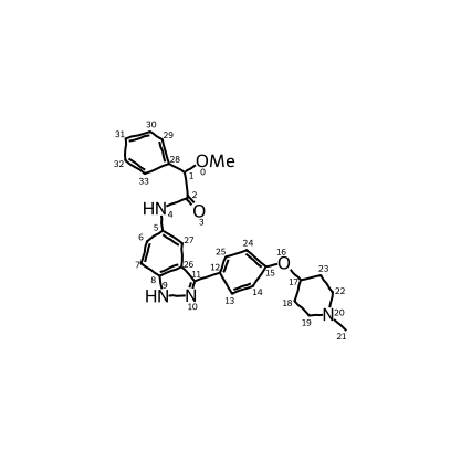 COC(C(=O)Nc1ccc2[nH]nc(-c3ccc(OC4CCN(C)CC4)cc3)c2c1)c1ccccc1